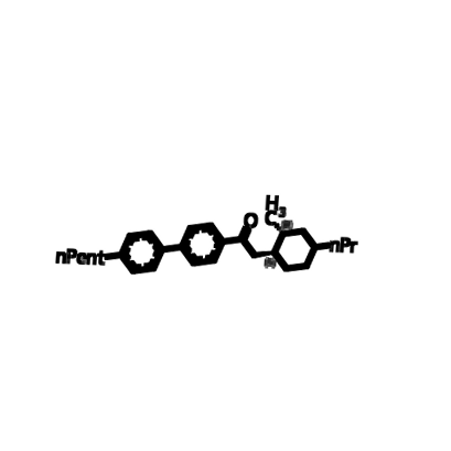 CCCCCc1ccc(-c2ccc(C(=O)C[C@@H]3CCC(CCC)C[C@H]3C)cc2)cc1